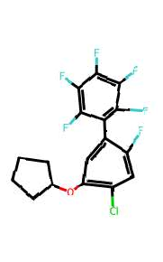 Fc1cc(Cl)c(OC2CCCC2)cc1-c1c(F)c(F)c(F)c(F)c1F